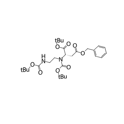 CC(C)(C)OC(=O)NCCN(C(=O)OC(C)(C)C)[C@@H](CC(=O)OCc1ccccc1)C(=O)OC(C)(C)C